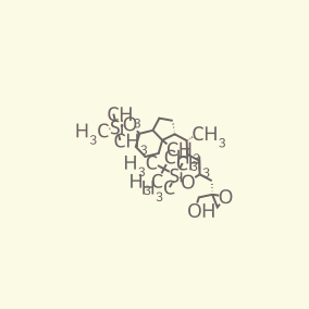 C[C@H](CCC(C[C@@]1(CO)CO1)O[Si](C)(C)C(C)(C)C)[C@H]1CCC2C(O[Si](C)(C)C)CCCC21C